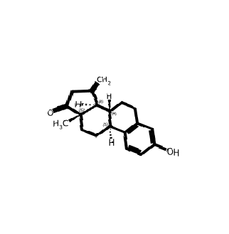 C=C1CC(=O)[C@@]2(C)CC[C@@H]3c4ccc(O)cc4CC[C@H]3[C@H]12